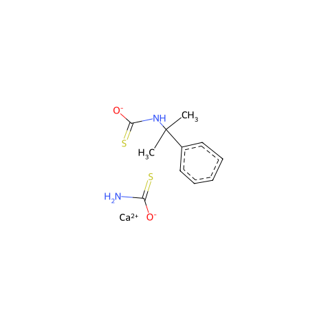 CC(C)(NC([O-])=S)c1ccccc1.NC([O-])=S.[Ca+2]